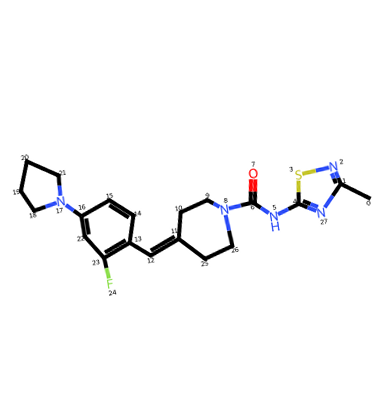 Cc1nsc(NC(=O)N2CCC(=Cc3ccc(N4CCCC4)cc3F)CC2)n1